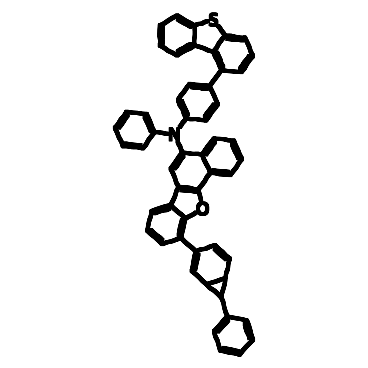 C1=CC2C(C=C1c1cccc3c1oc1c4ccccc4c(N(c4ccccc4)c4ccc(-c5cccc6sc7ccccc7c56)cc4)cc31)C2c1ccccc1